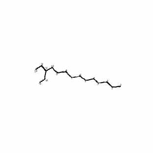 CCCCCCCCCCC[C](CC)CC